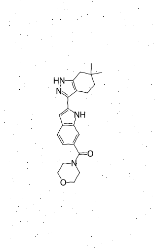 CC1(C)CCc2c(-c3cc4ccc(C(=O)N5CCOCC5)cc4[nH]3)n[nH]c2C1